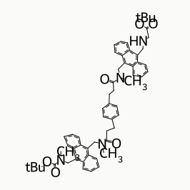 CN(Cc1c2ccccc2c(CNCC(=O)OC(C)(C)C)c2ccccc12)C(=O)CCc1ccc(CCC(=O)N(C)Cc2c3ccccc3c(CN(C)C(=O)OC(C)(C)C)c3ccccc23)cc1